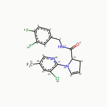 O=C(NCc1ccc(F)c(F)c1)C1CC=CN1c1ncc(C(F)(F)F)cc1Cl